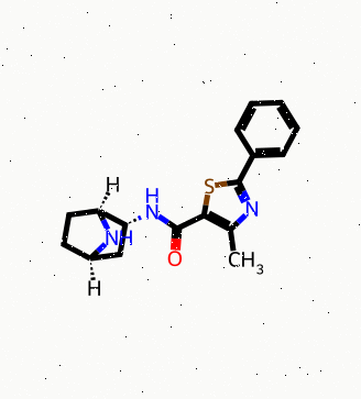 Cc1nc(-c2ccccc2)sc1C(=O)N[C@@H]1C[C@H]2CC[C@@H]1N2